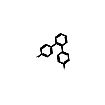 Fc1ccc(-c2[c]cccc2-c2ccc(F)cc2)cc1